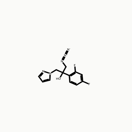 [N-]=[N+]=NCC(O)(Cn1cccn1)c1ccc(F)cc1F